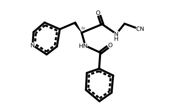 N#CCNC(=O)[C@H](Cc1ccncc1)NC(=O)c1ccccc1